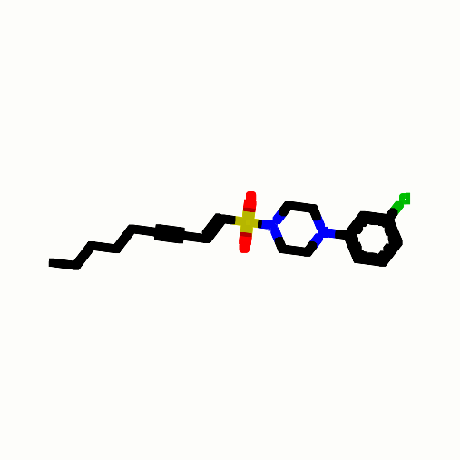 CCCCCC#C/C=C/S(=O)(=O)N1CCN(c2cccc(Cl)c2)CC1